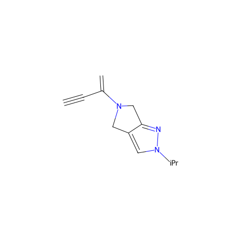 C#CC(=C)N1Cc2cn(C(C)C)nc2C1